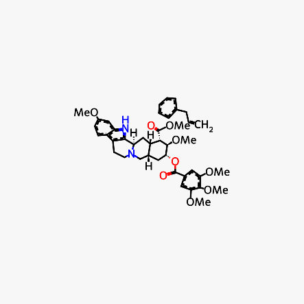 C=CCc1ccccc1.COC(=O)[C@H]1[C@H]2C[C@@H]3c4[nH]c5cc(OC)ccc5c4CCN3C[C@H]2C[C@@H](OC(=O)c2cc(OC)c(OC)c(OC)c2)[C@@H]1OC